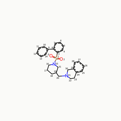 O=S(=O)(c1ccccc1-c1ccccc1)N1CCCC(CN2CCc3ccccc3C2)C1